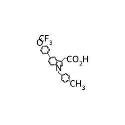 Cc1ccc(Cn2cc(CC(=O)O)c3cc(-c4ccc(OC(F)(F)F)cc4)ccc32)cc1